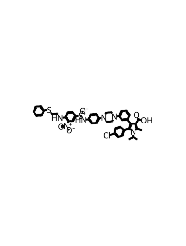 Cc1c(C(=O)O)c(-c2cccc(N3CCN(c4ccc(N[S+]([O-])c5ccc(NCCSc6ccccc6)c([N+](=O)[O-])c5)cc4)CC3)c2)c(-c2ccc(Cl)cc2)n1C(C)C